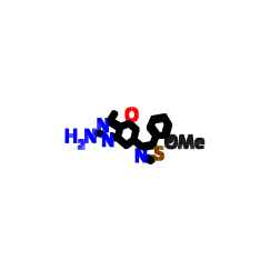 COc1ccccc1-c1scnc1C1CC(=O)c2c(C)nc(N)nc2C1